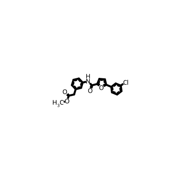 COC(=O)Cc1cccc(NC(=O)c2ccc(-c3cccc(Cl)c3)o2)c1